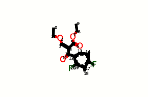 CCOC=C(C(=O)OCC)C(=O)c1ccc(F)c(C)c1F